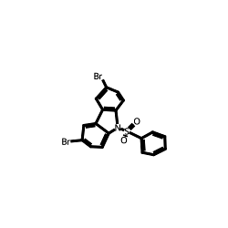 O=S(=O)(c1ccccc1)n1c2ccc(Br)cc2c2cc(Br)ccc21